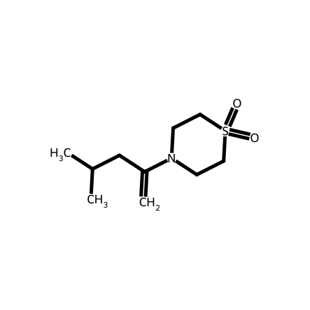 C=C(CC(C)C)N1CCS(=O)(=O)CC1